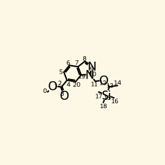 COC(=O)c1ccc2cnn(COC(C)[Si](C)(C)C)c2c1